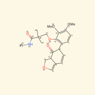 COc1ccc(C2C=CC3=COCC3C2=O)c(OCC(C)(C)C(=O)NC(C)C)c1OC